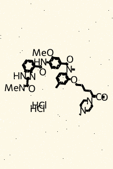 CNC(=O)c1nc2c(C(=O)Nc3ccc(C(=O)N(C)c4ccc(C)cc4OCCCCC(=C=O)N4CCN(C)CC4)cc3OC)cccc2[nH]1.Cl.Cl